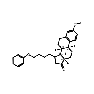 COc1ccc2c(c1)CC[C@@H]1[C@@H]2CC[C@]2(C)C(=O)CC(CCCCOc3ccccc3)[C@@H]12